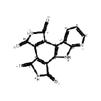 O=c1[nH]c(=O)c2c1c1[nH]c3ncccc3c1c1c(=O)[nH]c(=O)c21